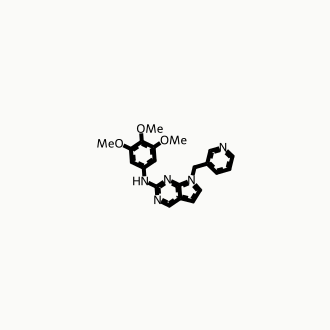 COc1cc(Nc2ncc3ccn(Cc4cccnc4)c3n2)cc(OC)c1OC